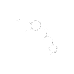 COc1ccc(OC(=O)Cc2ccsc2)cc1O